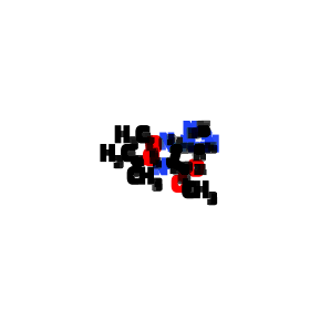 CO/N=C(\C(=N/OC(C)C)C(=O)OC)n1cncn1